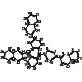 c1ccc2cc(-c3ccc(N(c4ccc(-c5ccc6ccccc6c5)cc4)c4cccc5c4oc4cc6ccccc6cc45)cc3)ccc2c1